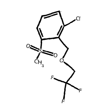 CS(=O)(=O)c1cc[c]c(Cl)c1COCC(F)(F)F